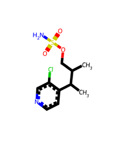 CC(COS(N)(=O)=O)C(C)c1ccncc1Cl